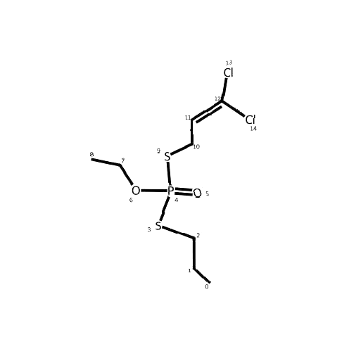 CCCSP(=O)(OCC)SCC=C(Cl)Cl